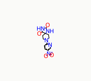 O=C1NC(=O)C2(CCN(c3ccc([N+](=O)[O-])cn3)CC2)N1